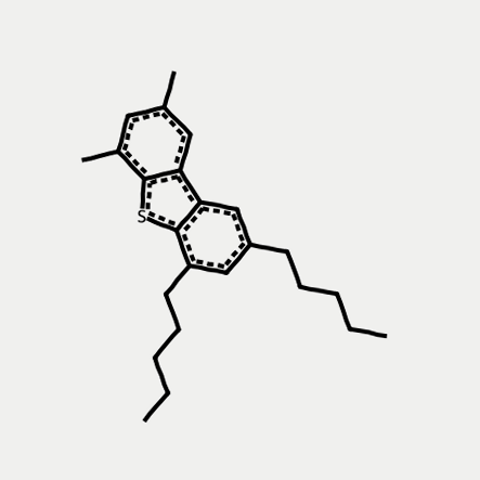 CCCCCc1cc(CCCCC)c2sc3c(C)cc(C)cc3c2c1